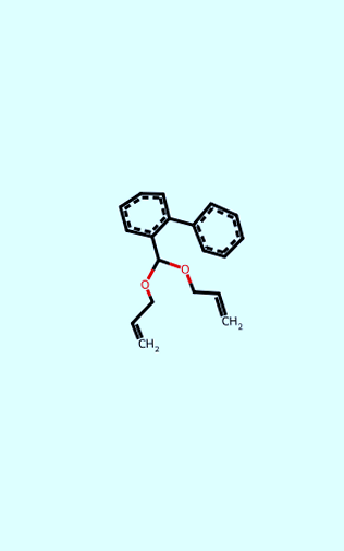 C=CCOC(OCC=C)c1ccccc1-c1ccccc1